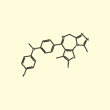 Cc1sc2c(c1C)C(c1ccc(N(C)c3ccc(F)cc3)cc1)=NCc1nnc(C)n1-2